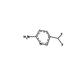 Nc1[c]cc(C(F)F)cn1